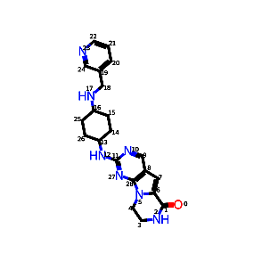 O=C1NCCn2c1cc1cnc(NC3CCC(NCc4cccnc4)CC3)nc12